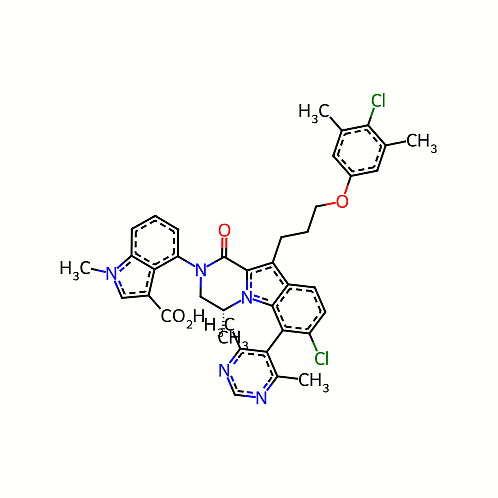 Cc1cc(OCCCc2c3n(c4c(-c5c(C)ncnc5C)c(Cl)ccc24)[C@H](C)CN(c2cccc4c2c(C(=O)O)cn4C)C3=O)cc(C)c1Cl